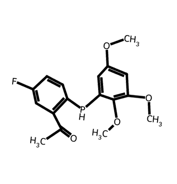 COc1cc(OC)c(OC)c(Pc2ccc(F)cc2C(C)=O)c1